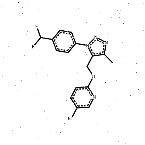 Cc1nnn(-c2ccc(C(F)F)cc2)c1COc1ccc(Br)cn1